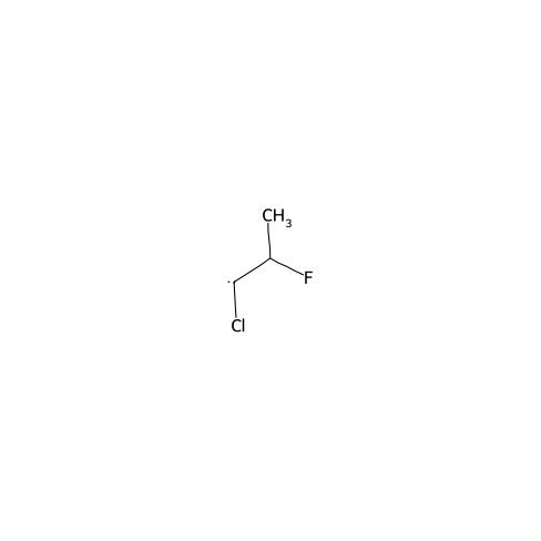 CC(F)[CH]Cl